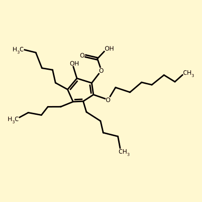 CCCCCCCOc1c(CCCCC)c(CCCCC)c(CCCCC)c(O)c1OC(=O)O